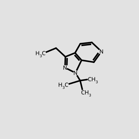 CCc1nn(C(C)(C)C)c2cnccc12